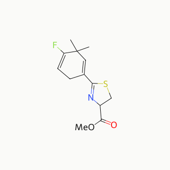 COC(=O)C1CSC(C2=CC(C)(C)C(F)=CC2)=N1